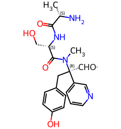 C[C@H](N)C(=O)N[C@@H](CO)C(=O)N(C)[C@]([C]=O)(Cc1ccc(O)cc1)c1cccnc1